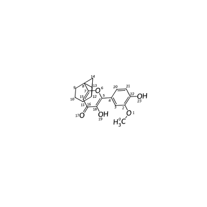 COc1cc(-c2oc(C34CCCC5C3C54)cc(=O)c2O)ccc1O